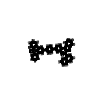 O=P(c1ccccc1)(c1ccccc1)c1ccc(-c2ccc(-c3ccc4c(c3)nc(-c3cccc5ccccc35)c3sc5ccccc5c34)cc2)cc1